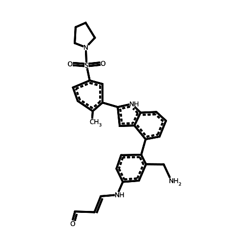 Cc1ccc(S(=O)(=O)N2CCCC2)cc1-c1cc2c(-c3ccc(NC=CC=O)cc3CN)cccc2[nH]1